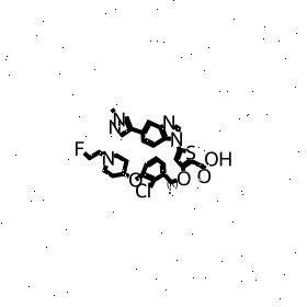 C[C@@H](Oc1cc(-n2cnc3cc(-c4cnn(C)c4)ccc32)sc1C(=O)O)c1cccc(OC2CCN(CCF)CC2)c1Cl